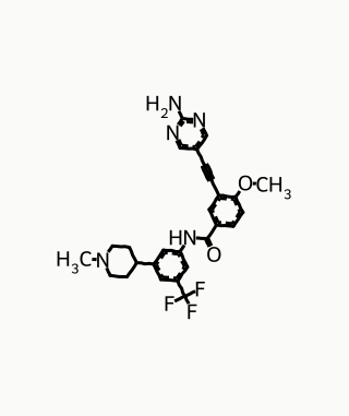 COc1ccc(C(=O)Nc2cc(C3CCN(C)CC3)cc(C(F)(F)F)c2)cc1C#Cc1cnc(N)nc1